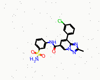 Cc1nc2c(-c3cccc(Cl)c3)cc(C(=O)Nc3cccc(S(N)(=O)=O)c3)cn2n1